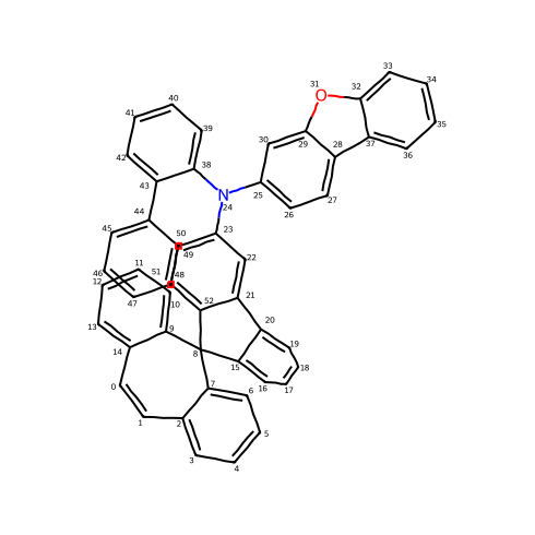 C1=Cc2ccccc2C2(c3ccccc31)c1ccccc1-c1cc(N(c3ccc4c(c3)oc3ccccc34)c3ccccc3-c3ccccc3)ccc12